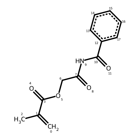 C=C(C)C(=O)OCC(=O)NC(=O)c1ccccc1